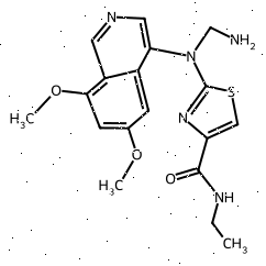 CCNC(=O)c1csc(N(CN)c2cncc3c(OC)cc(OC)cc23)n1